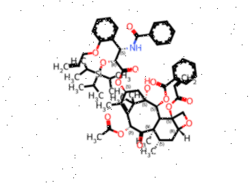 C=CCOc1ccccc1[C@H](NC(=O)c1ccccc1)[C@@H](O[Si](C(C)C)(C(C)C)C(C)C)C(=O)O[C@H]1C[C@@]2(O)[C@@H](OC(=O)c3ccccc3)C3[C@](C)(C(=O)[C@H](OC(C)=O)C(=C1C)C2(C)C)[C@@H](C)C[C@H]1OC[C@@]31OC(=O)C=C